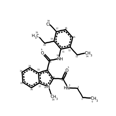 CCCNC(=O)c1c(C(=O)Nc2c(CC)ccc(Cl)c2CC)c2ccccc2n1C